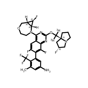 [2H]C([2H])(Oc1nc(N2CCOC[C@@H]3[C@@H](F)[C@@H]32)c2cc(F)c(-c3cc(N)cc(C)c3C(F)(F)F)c(F)c2n1)[C@@]12CCCN1C[C@H](F)C2